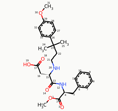 COC(=O)[C@H](Cc1ccccc1)NC(=O)[C@H](CC(=O)O)NCCC(C)(C)c1ccc(OC)cc1